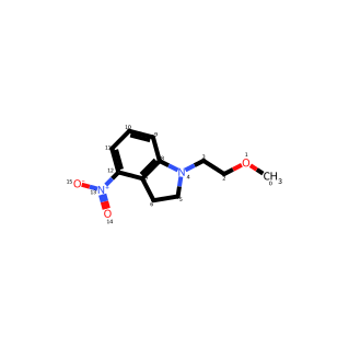 COCCN1CCc2c1cccc2[N+](=O)[O-]